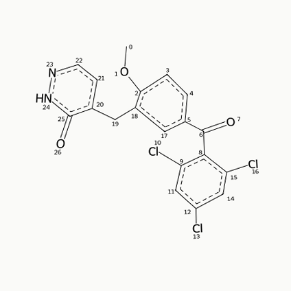 COc1ccc(C(=O)c2c(Cl)cc(Cl)cc2Cl)cc1Cc1ccn[nH]c1=O